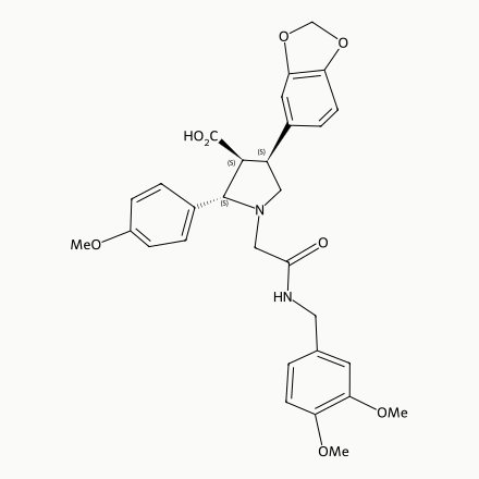 COc1ccc([C@@H]2[C@@H](C(=O)O)[C@@H](c3ccc4c(c3)OCO4)CN2CC(=O)NCc2ccc(OC)c(OC)c2)cc1